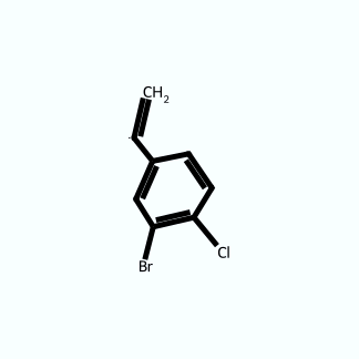 C=[C]c1ccc(Cl)c(Br)c1